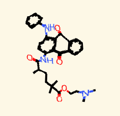 CC(CCC(C)(C)C(=O)OCCN(C)C)C(=O)Nc1ccc(Nc2ccccc2)c2c1C(=O)c1ccccc1C2=O